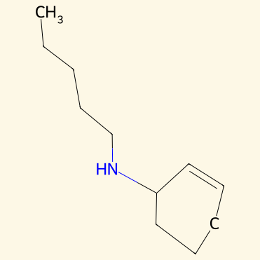 CCCCCNC1C=CCCC1